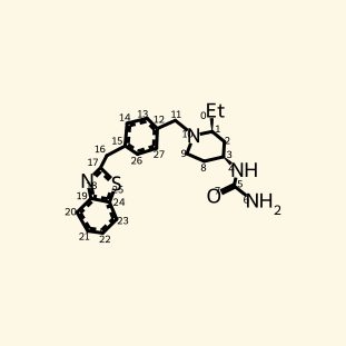 CC[C@H]1C[C@@H](NC(N)=O)CCN1Cc1ccc(Cc2nc3ccccc3s2)cc1